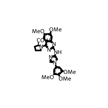 COc1cc2nc(Nc3cn(-c4cc(OC)c(OC)c(OC)c4)cn3)nc(N3CCC[C@H]3C(=O)O)c2cc1OC